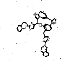 CC(c1cnc(N2CCc3ccccc3C2)s1)c1c[nH]c2ccc(-c3ccnn3-c3ccc(Cc4cnc(N5CCc6ccccc6C5)s4)cc3)cc12